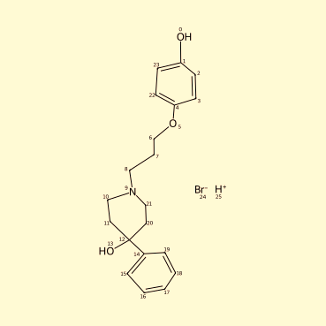 Oc1ccc(OCCCN2CCC(O)(c3ccccc3)CC2)cc1.[Br-].[H+]